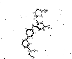 OC[C@@H](O)c1cccc(-c2ccc(Oc3ccc(C(F)(F)F)cc3CN3CC[C@H](O)C3)cc2)n1